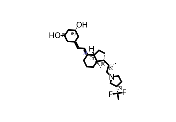 C[C@H](CN1CC[C@H](C(C)(F)F)C1)[C@H]1CC[C@H]2/C(=C/C=C3C[C@@H](O)C[C@H](O)C3)CCC[C@]12C